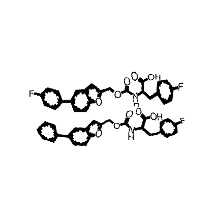 O=C(NC(Cc1ccc(F)cc1)C(=O)O)OCc1cc2cc(-c3ccc(F)cc3)ccc2o1.O=C(NC(Cc1ccc(F)cc1)C(=O)O)OCc1cc2cc(-c3ccccc3)ccc2o1